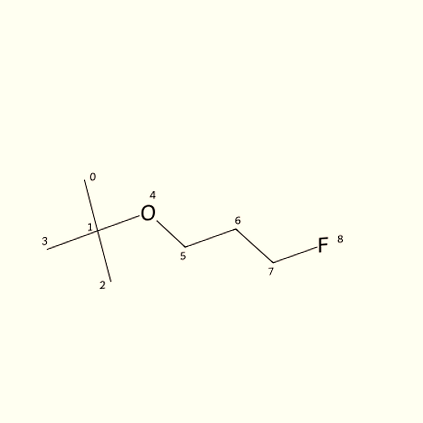 CC(C)(C)OCCCF